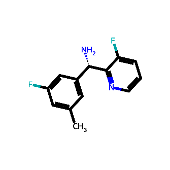 Cc1cc(F)cc([C@H](N)c2ncccc2F)c1